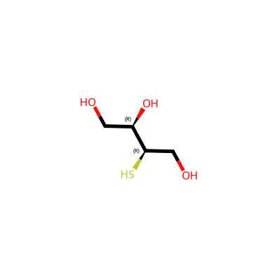 OC[C@@H](O)[C@H](S)CO